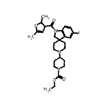 CCOC(=O)N1CCC(N2CCC3(CC2)CN(C(=O)C2C=C(C)OC2C)c2ccc(F)cc23)CC1